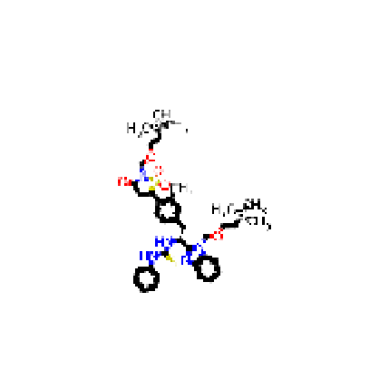 Cc1cc(C[C@H](NC(=S)Nc2ccccc2)c2nc3ccccc3n2COCC[Si](C)(C)C)ccc1C1CC(=O)N(COCC[Si](C)(C)C)S1(=O)=O